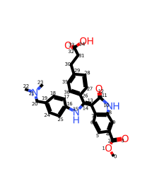 COC(=O)c1ccc2c(c1)NC(=O)C2=C(Nc1ccc(CN(C)C)cc1)c1ccc(CCC(=O)O)cc1